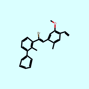 C=Cc1cc(C)c(/C=C(\Br)c2cccc(-c3ccccc3)c2C)cc1OC